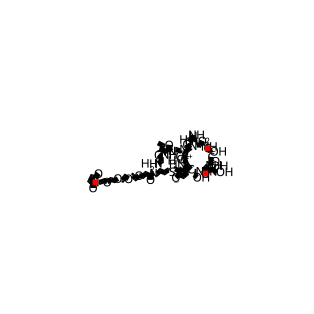 CC[C@H](C)[C@H](NC(=O)CN)C(=O)NCC(=O)N[C@H]1C[S+]([O-])c2[nH]c3c(CSCCCCNC(=O)CCOCCOCCOCCOCCN4C(=O)C=CC4=O)c(OC)ccc3c2C[C@@H](CO)NC(=O)[C@H]([C@@H](C)[C@@H](O)CO)NC(=O)C[C@@H](O)CNC(=O)[C@H](CC(N)=O)NC1=O